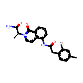 Cc1ccc(CC(=O)Nc2cccc3c(=O)n([C@@H](C)C(N)=O)ccc23)c(C(F)(F)F)c1